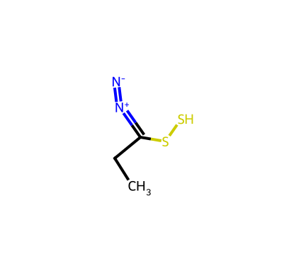 CCC(=[N+]=[N-])SS